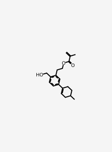 C=C(C)C(=O)OCCc1cc(C2=CCC(C)CC2)ccc1CO